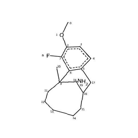 COc1ccc2c(c1F)C1(C)CCCCCC(C2)C1N